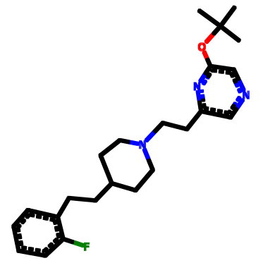 CC(C)(C)Oc1cncc(CCN2CCC(CCc3ccccc3F)CC2)n1